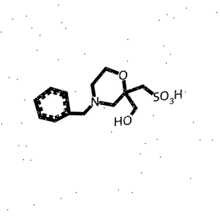 O=S(=O)(O)CC1(CO)CN(Cc2ccccc2)CCO1